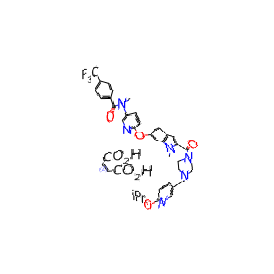 CC(C)Oc1ccc(CN2CCN(C(=O)c3cc4ccc(Oc5ccc(N(C)C(=O)c6ccc(C(F)(F)F)cc6)cn5)cc4n3C)CC2)cn1.O=C(O)/C=C\C(=O)O